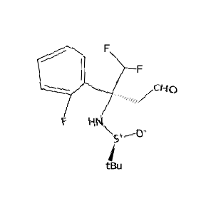 CC(C)(C)[S@+]([O-])N[C@@](CC=O)(c1ccccc1F)C(F)F